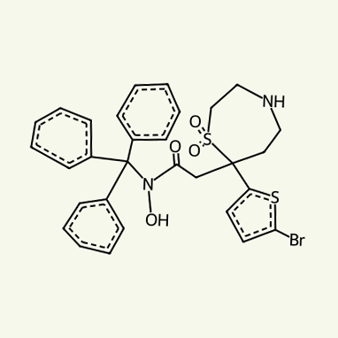 O=C(CC1(c2ccc(Br)s2)CCNCCS1(=O)=O)N(O)C(c1ccccc1)(c1ccccc1)c1ccccc1